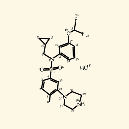 Cc1ccc(S(=O)(=O)N(CC2CC2)c2cccc(OC(F)F)c2)cc1N1CCNCC1.Cl